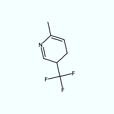 CC1=CCC(C(F)(F)F)C=N1